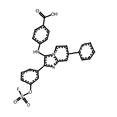 O=C(O)c1ccc(Nc2c(-c3cccc(OS(=O)(=O)F)c3)nc3cc(-c4ccccc4)ccn23)cc1